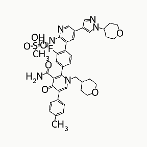 CS(=O)(=O)O.Cc1ccc(-c2cn(CC3CCOCC3)c(-c3ccc(-c4cc(-c5cnn(C6CCOCC6)c5)cnc4N)c(F)c3)c(C(N)=O)c2=O)cc1